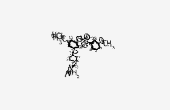 COc1cccc(S(=O)(=O)Oc2cc(C)cc(OCC3CCN(C=NN)CC3)c2)c1.Cl